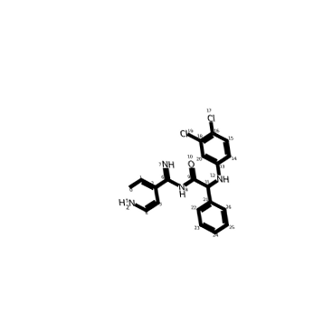 C/C=C(\C=C/N)C(=N)NC(=O)C(Nc1ccc(Cl)c(Cl)c1)c1ccccc1